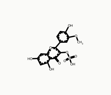 COc1cc(-c2oc3cc(O)cc(O)c3c(=O)c2OS(=O)(=O)O)ccc1O